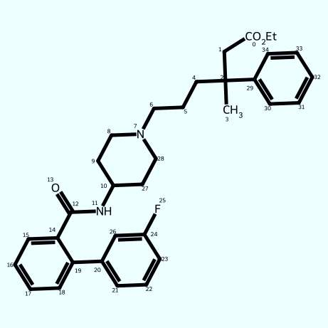 CCOC(=O)CC(C)(CCCN1CCC(NC(=O)c2ccccc2-c2cccc(F)c2)CC1)c1ccccc1